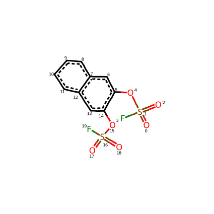 O=S(=O)(F)Oc1cc2ccccc2cc1OS(=O)(=O)F